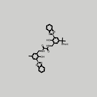 CCCCCC(C)(C)c1cc(CNC(=O)C(=O)NCc2cc(C)cc(-n3nc4ccccc4n3)c2O)c(O)c(-n2nc3ccccc3n2)c1